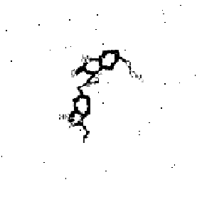 COc1ccc2c(c1)[C@]1(C[C@H]1Cc1ccc3c(CI)n[nH]c3c1)C(=O)N2